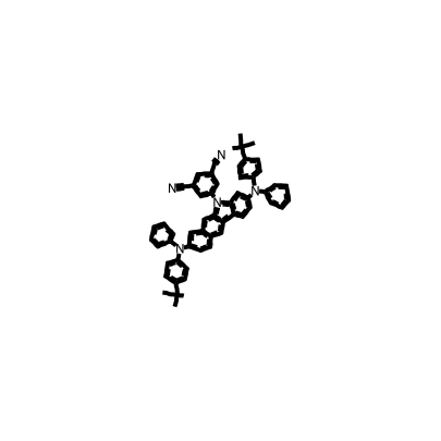 CC(C)(C)c1ccc(N(c2ccccc2)c2ccc3cc4c5ccc(N(c6ccccc6)c6ccc(C(C)(C)C)cc6)cc5n(-c5cc(C#N)cc(C#N)c5)c4cc3c2)cc1